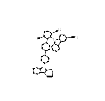 N#Cc1ccc2c(c1)c1ccccc1n2-c1c(C#N)ccc(C#N)c1-c1ccc(-c2ccc(-n3c4c(c5ccccc53)C#CCC4)cc2)cc1